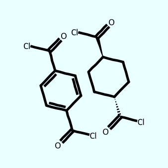 O=C(Cl)[C@H]1CC[C@H](C(=O)Cl)CC1.O=C(Cl)c1ccc(C(=O)Cl)cc1